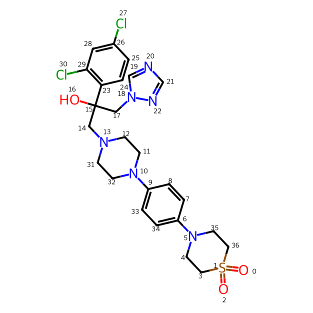 O=S1(=O)CCN(c2ccc(N3CCN(CC(O)(Cn4cncn4)c4ccc(Cl)cc4Cl)CC3)cc2)CC1